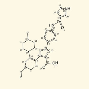 CCN1CCC(c2cc(-c3ccc(NC(=O)c4cn[nH]c4)cc3)sc2C(=O)O)=C(C2CCC(C)CC2)C1